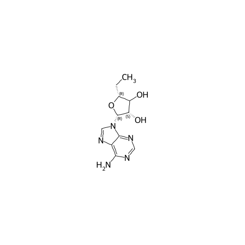 CC[C@H]1O[C@@H](n2cnc3c(N)ncnc32)[C@@H](O)C1O